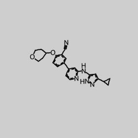 N#Cc1cc(-c2ccnc(Nc3cc(C4CC4)n[nH]3)c2)ccc1OC1CCOCC1